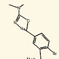 COCc1cc(-c2nnc(N(C)C)o2)ccc1Br